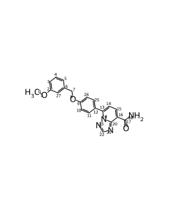 COc1cccc(COc2ccc(-c3ccc(C(N)=O)c4n[c]nn34)cc2)c1